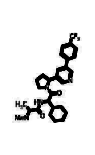 CNC(C)C(=O)NC(C(=O)N1CCCC1c1cncc(-c2ccc(C(F)(F)F)cc2)c1)C1CCCCC1